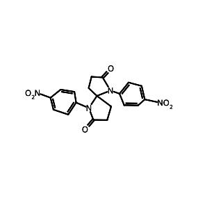 O=C1CCC2(CCC(=O)N2c2ccc([N+](=O)[O-])cc2)N1c1ccc([N+](=O)[O-])cc1